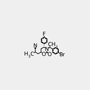 CC(C#N)CC1C[C@H](c2ccc(F)cc2)N([C@@H](C)c2ccc(Br)cc2)C(=O)O1